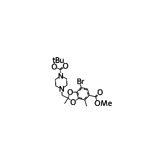 COC(=O)c1cc(Br)c2c(c1C)OC(C)(CN1CCN(C(=O)OC(C)(C)C)CC1)O2